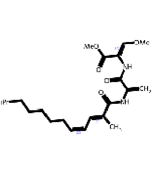 C=C(NC(=O)/C(C)=C/C=C\CCCCCC(C)C)C(=O)N/C(=C\OC)C(=O)OC